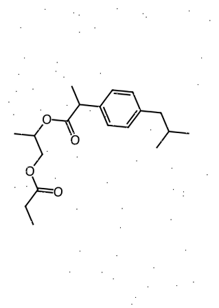 CCC(=O)OCC(C)OC(=O)C(C)c1ccc(CC(C)C)cc1